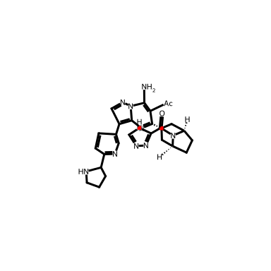 CC(=O)c1c([C@@H]2C[C@H]3CC[C@@H](C2)N3C(=O)c2nnc[nH]2)nc2c(-c3ccc(C4CCCN4)nc3)cnn2c1N